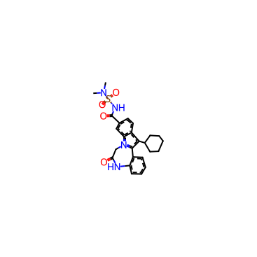 CN(C)S(=O)(=O)NC(=O)c1ccc2c(C3CCCCC3)c3n(c2c1)CC(=O)Nc1ccccc1-3